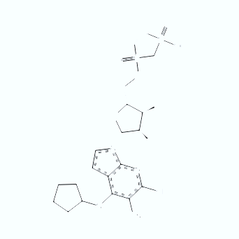 N#Cc1c(Cl)nc2c(ccn2[C@@H]2O[C@H](COP(=O)(O)CP(=O)(O)O)[C@@H](O)[C@H]2O)c1NC1CCCC1